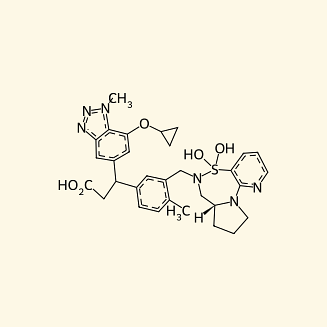 Cc1ccc(C(CC(=O)O)c2cc(OC3CC3)c3c(c2)nnn3C)cc1CN1C[C@H]2CCCN2c2ncccc2S1(O)O